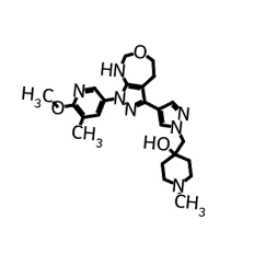 COc1ncc(-n2nc(-c3cnn(CC4(O)CCN(C)CC4)c3)c3c2NCOCC3)cc1C